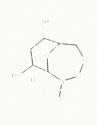 CN1OOCC2O[C@@H]1C(O)C[C@@H]2O